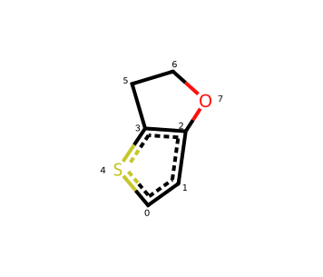 c1cc2c(s1)CCO2